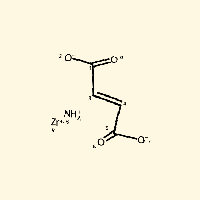 O=C([O-])C=CC(=O)[O-].[NH4+].[Zr+]